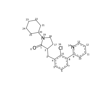 O=C1C(Cc2cccc(-c3ccccn3)c2Cl)CCN1C1CCCCC1